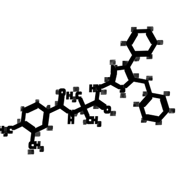 Cc1ccc(C(=O)NC(C)(C)C(=O)Nc2nc(-c3ccccc3)c(Cc3ccccc3)s2)cc1C